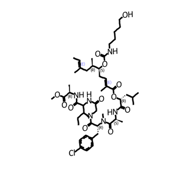 C/C=C(\C)C[C@@H](C)[C@H](C/C=C(\C)C(=O)O[C@H](CC(C)C)C(=O)N[C@@H](C)C(=O)N(C)[C@H](Cc1ccc(Cl)cc1)C(=O)N(C)CC(=O)NC(C(=O)N[C@H](C)C(=O)OC)C(C)CC)OC(=O)NCCCCCO